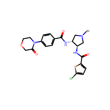 CC(C)N1C[C@@H](NC(=O)c2ccc(N3CCOCC3=O)cc2)[C@H](NC(=O)c2ccc(Cl)s2)C1